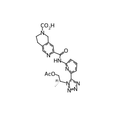 CC(=O)OC[C@@H](C)n1nnnc1-c1cccc(NC(=O)c2cc3c(cn2)CCN(C(=O)O)C3)n1